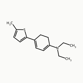 CCN(CC)C1=CC=C(c2ccc(C)s2)CC1